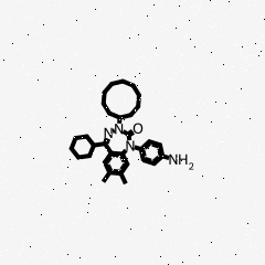 Cc1cc2c(cc1C)N(c1ccc(N)cc1)C(=O)N(C1CCCCCCCCC1)N=C2C1CCCCC1